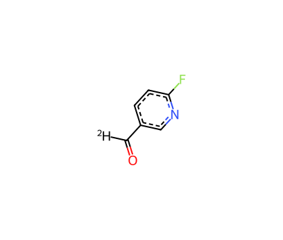 [2H]C(=O)c1ccc(F)nc1